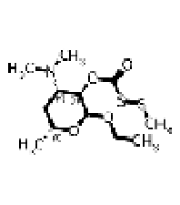 CCOC1O[C@H](C)C[C@H](N(C)C)[C@H]1OC(=O)SSC